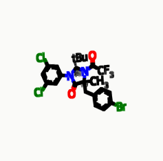 CC(C)(C)[C@H]1N(c2cc(Cl)cc(Cl)c2)C(=O)[C@@](C)(Cc2ccc(Br)cc2)N1C(=O)C(F)(F)F